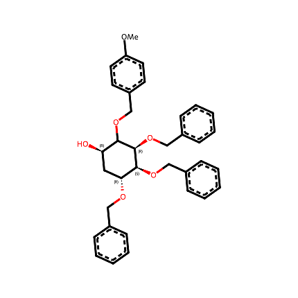 COc1ccc(COC2[C@H](O)C[C@@H](OCc3ccccc3)[C@H](OCc3ccccc3)[C@@H]2OCc2ccccc2)cc1